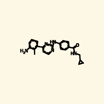 Cc1c(N)cccc1-c1ccnc(Nc2ccc(C(=O)NCC3CC3)cc2)n1